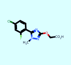 Cn1nc(OCC(=O)O)nc1-c1ccc(Cl)cc1F